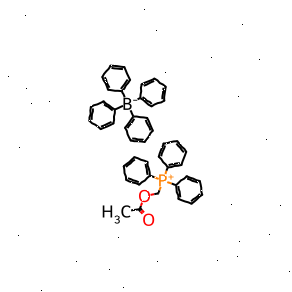 CC(=O)OC[P+](c1ccccc1)(c1ccccc1)c1ccccc1.c1ccc([B-](c2ccccc2)(c2ccccc2)c2ccccc2)cc1